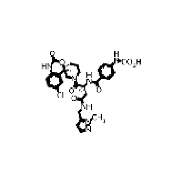 Cn1nccc1CNC(=O)C[C@H](NC(=O)c1ccc(NC(=O)O)cc1)C(=O)N1CCC[C@@]2(C1)OC(=O)Nc1ccc(Cl)cc12